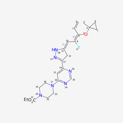 C=C/C(OC1(C)CC1)=C(F)\C=C1/CC(c2cc(N3CCN(C(=O)OCC)CC3)ncn2)=NN1